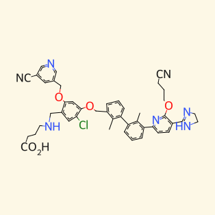 Cc1c(COc2cc(OCc3cncc(C#N)c3)c(CNCCCC(=O)O)cc2Cl)cccc1-c1cccc(-c2ccc(C3=NCCN3)c(OCCCC#N)n2)c1C